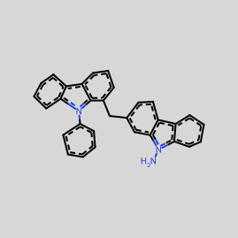 Nn1c2ccccc2c2ccc(Cc3cccc4c5ccccc5n(-c5ccccc5)c34)cc21